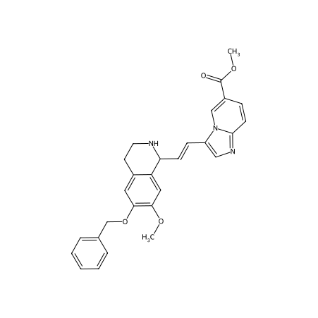 COC(=O)c1ccc2ncc(/C=C/C3NCCc4cc(OCc5ccccc5)c(OC)cc43)n2c1